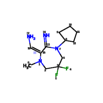 CN1CC(F)(F)CN(C2CCCC2)C(=N)/C1=C\N